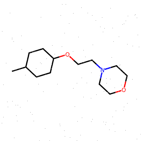 CC1CCC(OCCN2CCOCC2)CC1